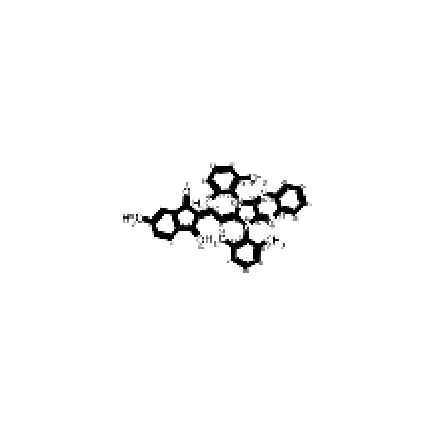 Cc1ccc2c(c1)C(=O)/C(=C/C=C1N(c3c(C)cccc3C)c3nc4ccccc4nc3N1c1c(C)cccc1C)C2=O